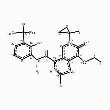 CCOc1c(=O)n(C2(C)CC2)cc2c(N[C@H](C)c3cccc(C(C)(F)F)c3F)nc(C)nc12